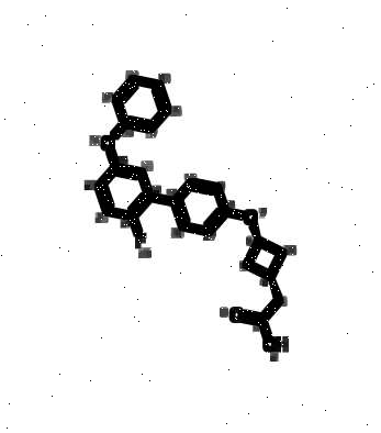 O=C(O)C[C@H]1C[C@@H](Oc2ccc(-c3cc(Oc4ccccc4)ccc3F)cc2)C1